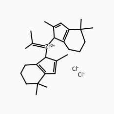 CC1=CC2=C(CCCC2(C)C)[CH]1[Zr+2](=[C](C)C)[CH]1C(C)=CC2=C1CCCC2(C)C.[Cl-].[Cl-]